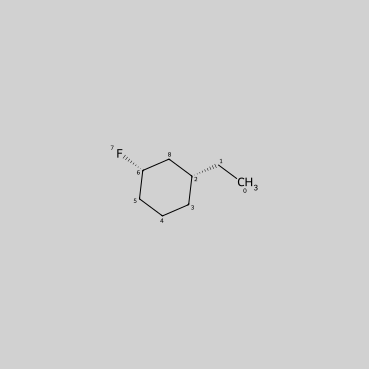 CC[C@@H]1CCC[C@H](F)C1